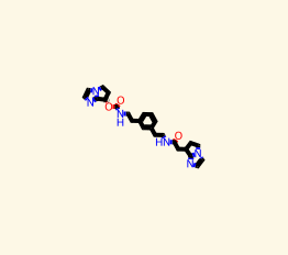 O=C(CC1CCn2ccnc21)NCCc1cccc(CCNC(=O)O[C@@H]2CCn3ccnc32)c1